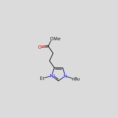 CCCCn1cc(CCC(=O)OC)[n+](CC)c1